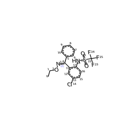 CCO/N=C(/c1ccccc1)c1cc(Cl)ccc1NS(=O)(=O)C(F)(F)F